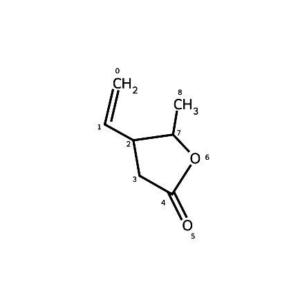 C=CC1CC(=O)OC1C